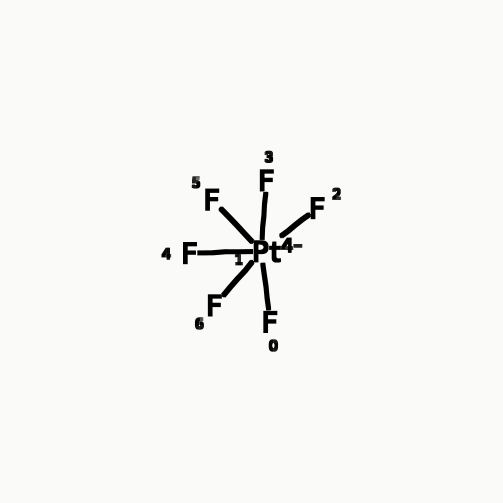 [F][Pt-4]([F])([F])([F])([F])[F]